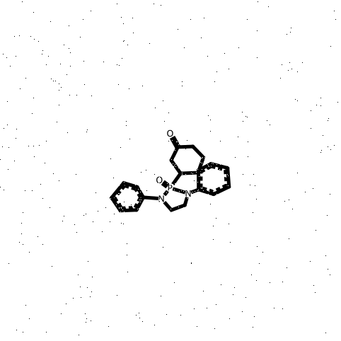 O=C1CCCC(P2(=O)N(c3ccccc3)CCN2c2ccccc2)C1